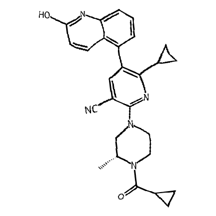 C[C@@H]1CN(c2nc(C3CC3)c(-c3cccc4nc(O)ccc34)cc2C#N)CCN1C(=O)C1CC1